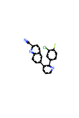 N#Cc1ccc2cc(-c3cccnc3-c3ccc(F)c(Cl)c3)ccc2n1